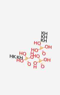 O=P(O)(O)O.O=P(O)(O)O.O=P(O)(O)O.[KH].[KH].[KH].[KH].[KH]